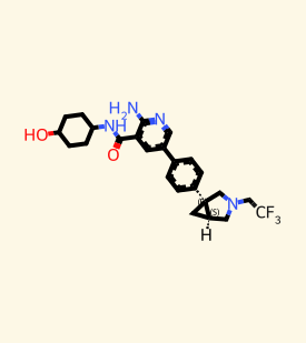 Nc1ncc(-c2ccc([C@@]34C[C@@H]3CN(CC(F)(F)F)C4)cc2)cc1C(=O)NC1CCC(O)CC1